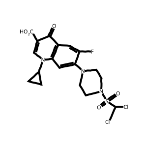 O=C(O)c1cn(C2CC2)c2cc(N3CCN(S(=O)(=O)C(Cl)Cl)CC3)c(F)cc2c1=O